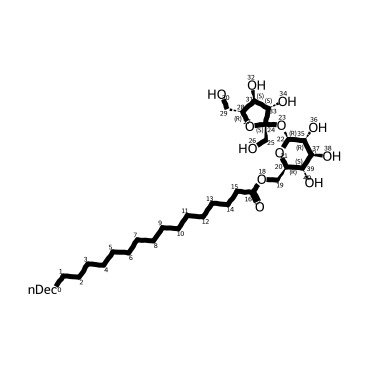 CCCCCCCCCCCCCCCCCCCCCCCCCC(=O)OC[C@H]1O[C@H](O[C@]2(CO)O[C@H](CO)[C@@H](O)[C@@H]2O)[C@H](O)[C@@H](O)[C@@H]1O